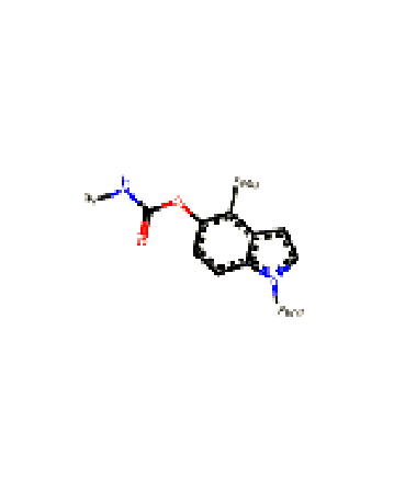 CCCC(C)n1ccc2c(SC)c(OC(=O)NC(C)C)ccc21